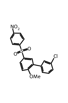 COc1ccc(S(=O)(=O)c2ccc([N+](=O)[O-])cc2)cc1-c1cccc(Cl)c1